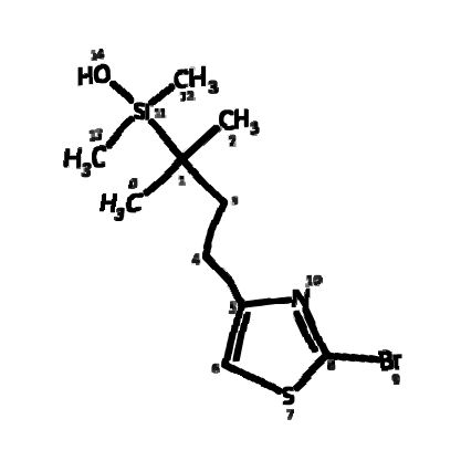 CC(C)(CCc1csc(Br)n1)[Si](C)(C)O